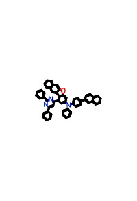 c1ccc(-c2cc(-c3cc(N(c4ccccc4)c4ccc(-c5ccc6ccccc6c5)cc4)cc4oc5cc6ccccc6cc5c34)nc(-c3ccccc3)n2)cc1